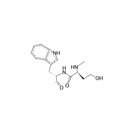 CN[C@@H](CCO)C(=O)N[C@H]([C]=O)Cc1c[nH]c2ccccc12